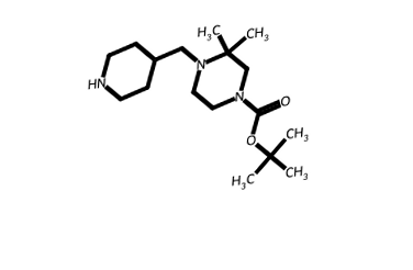 CC(C)(C)OC(=O)N1CCN(CC2CCNCC2)C(C)(C)C1